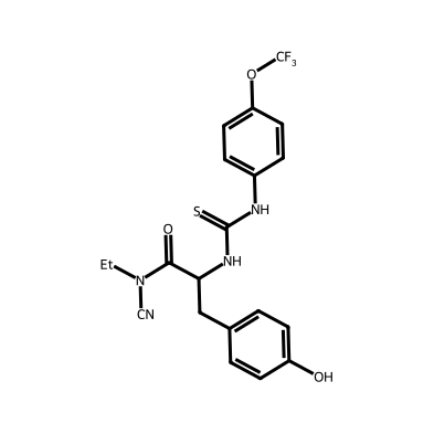 CCN(C#N)C(=O)C(Cc1ccc(O)cc1)NC(=S)Nc1ccc(OC(F)(F)F)cc1